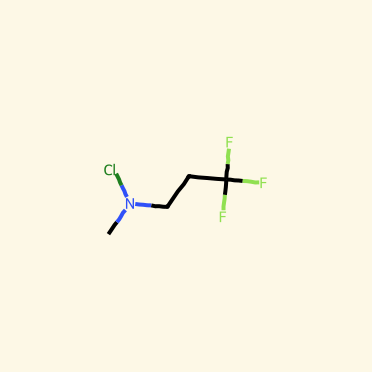 CN(Cl)CCC(F)(F)F